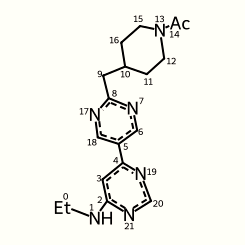 CCNc1cc(-c2cnc(CC3CCN(C(C)=O)CC3)nc2)ncn1